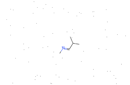 CN=CC(C)C